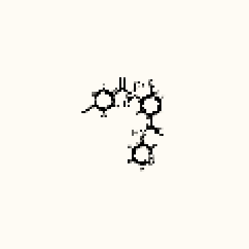 Cc1ccc(NS(=O)(=O)c2cc(C(=O)Nc3cccnc3)ccc2Cl)cc1